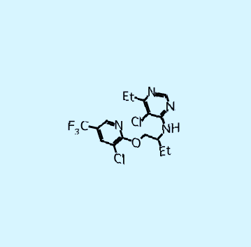 CCc1ncnc(NC(CC)COc2ncc(C(F)(F)F)cc2Cl)c1Cl